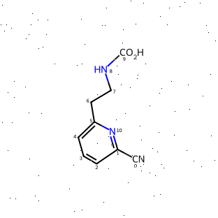 N#Cc1cccc(CCNC(=O)O)n1